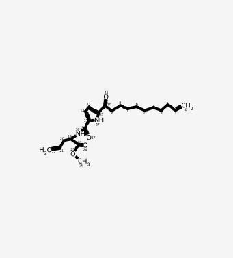 C=CCCCCCCCCC(=O)c1ccc(C(=O)NC(CC=C)C(=O)OC)[nH]1